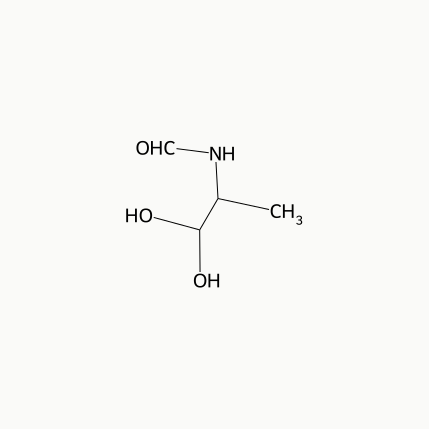 CC(NC=O)C(O)O